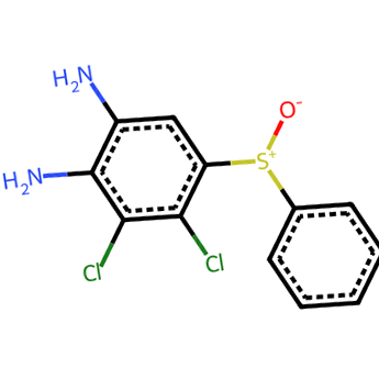 Nc1cc([S+]([O-])c2ccccc2)c(Cl)c(Cl)c1N